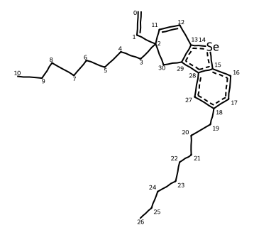 C=CC1(CCCCCCCC)C=Cc2[se]c3ccc(CCCCCCCC)cc3c2C1